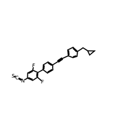 Fc1cc(N=C=S)cc(F)c1-c1ccc(C#Cc2ccc(CC3CC3)cc2)cc1